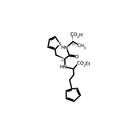 CCOC(=O)C(CCc1ccccc1)N[C@@H](Cc1cccs1)C(=O)N[C@@H](C)C(=O)O